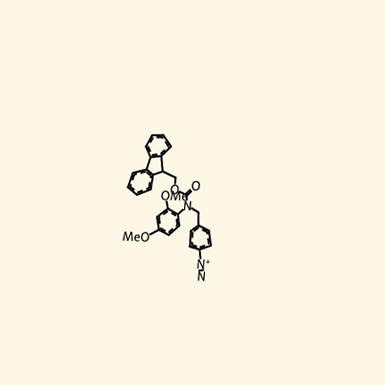 COc1ccc(N(Cc2ccc([N+]#N)cc2)C(=O)OCC2c3ccccc3-c3ccccc32)c(OC)c1